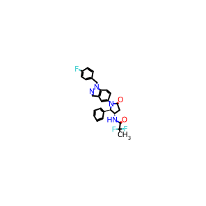 CC(F)(F)C(=O)N[C@H]1CC(=O)N(c2ccc3c(cnn3Cc3ccc(F)cc3)c2)[C@@H]1c1ccccc1